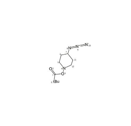 CC(C)(C)C(=O)ON1CCC(N=[N+]=[N-])CC1